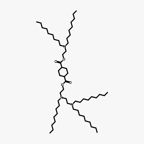 CCCCCCCCCN(CCCCCCCCC)CCOC(=O)C1CCC(C(=O)OCCN(CCCCCCCCC)CCN(CCCCCCCCC)CCCCCCCCC)CC1